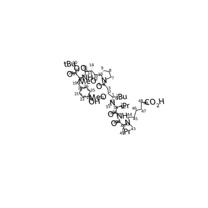 CC[C@H](C)[C@@H]([C@@H](CC(=O)N1CCC[C@H]1[C@H](OC)[C@@H](C)C(=O)N[C@@H](Cc1ccc(O)cc1)C(=O)OC(C)(C)C)OC)N(C)[C@H](C(=O)NC(=O)[C@H](C(C)C)N(C)CCCCCC(=O)O)C(C)C